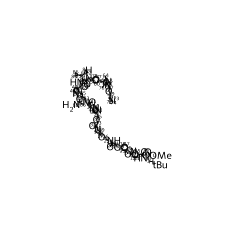 COC(=O)[C@H](CCC(C)(C)C)NC(=O)c1ccc(Oc2cccc(OCC(=O)NCCOC3CN(C(=O)COCc4cn(CC(=O)N(CCCn5nccc5C(=O)N[C@H](C(=O)Nc5ccc(-c6c(C)nn(COCC[Si](C)(C)C)c6C)cc5)C(C5CC5)C5CC5)CC(N)=O)nn4)C3)c2)nc1